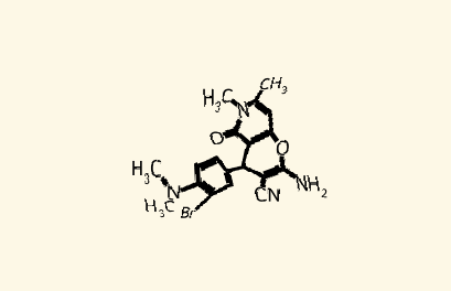 Cc1cc2c(c(=O)n1C)C(c1ccc(N(C)C)c(Br)c1)C(C#N)=C(N)O2